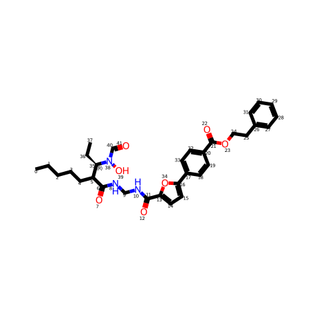 CCCCCC(C(=O)NCNC(=O)c1ccc(-c2ccc(C(=O)OCCc3ccccc3)cc2)o1)[C@@H](CC)N(O)C=O